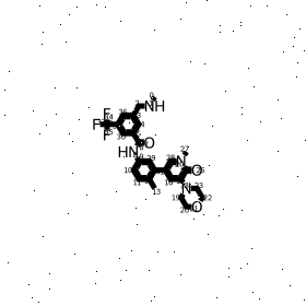 CNCc1cc(C(=O)Nc2ccc(C)c(-c3cc(N4CCOCC4)c(=O)n(C)c3)c2)cc(C(F)(F)F)c1